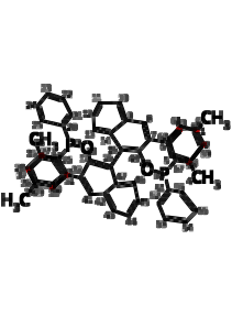 Cc1cc(C)cc(-c2cc3ccccc3c(-c3c(OP(c4ccccc4)c4ccccc4)c(-c4cc(C)cc(C)c4)cc4ccccc34)c2OP(c2ccccc2)c2ccccc2)c1